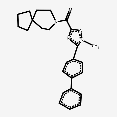 Cn1nc(C(=O)N2CCC3(CCCC3)CC2)nc1-c1ccc(-c2ccccc2)cc1